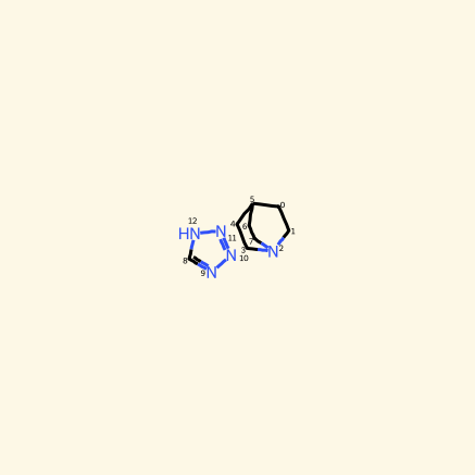 C1CN2CCC1CC2.c1nnn[nH]1